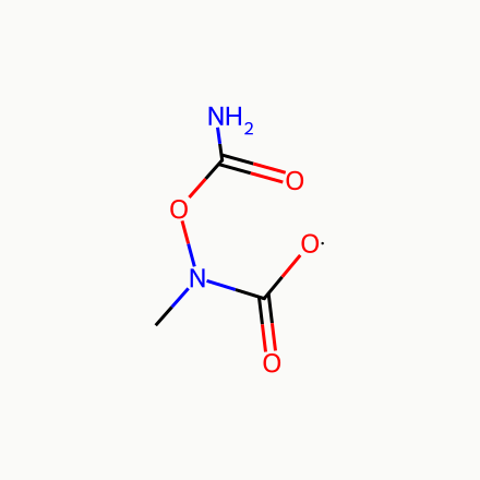 CN(OC(N)=O)C([O])=O